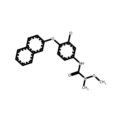 CON(C)C(=O)Nc1ccc(Oc2ccc3ccccc3c2)c(Cl)c1